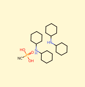 C1CCC(NC2CCCCC2)CC1.C1CCC(NC2CCCCC2)CC1.N#CP(=O)(O)O